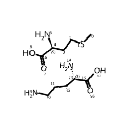 CSCC[C@H](N)C(=O)O.NCCC[C@H](N)C(=O)O